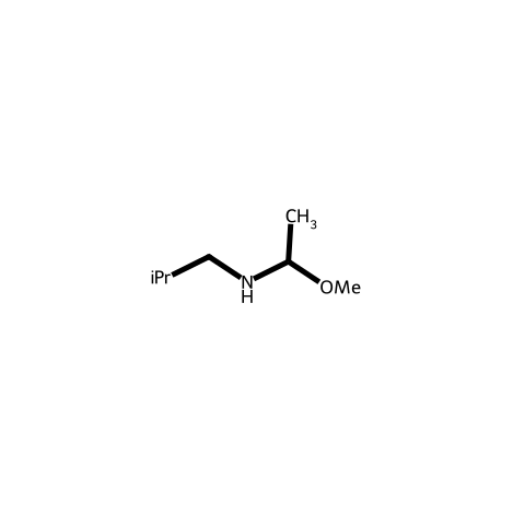 COC(C)NCC(C)C